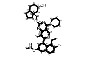 CCc1c(F)ccc2cc(ONC)cc(-c3ncc4c(N5CCCCC5)nc(OC[C@@]56CCCC5CC[C@H](O)C6)nc4c3C)c12